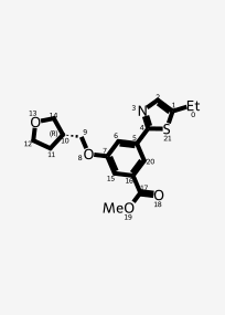 CCc1cnc(-c2cc(OC[C@@H]3CCOC3)cc(C(=O)OC)c2)s1